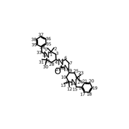 CC1(C)CC(N2CCN(C3CC(C)(C)N(Cc4ccccc4)C(C)(C)C3)C2=O)CC(C)(C)N1Cc1ccccc1